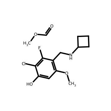 COC=O.COc1cc(O)c(Cl)c(F)c1CNC1CCC1